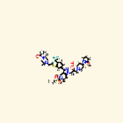 CC(=O)N1CCN(CCSc2cc(-c3nn(CC(O)CN4CCC(N5CCCC5=O)CC4)c4c3CN(S(C)(=O)=O)CC4)ccc2C(F)(F)F)CC1